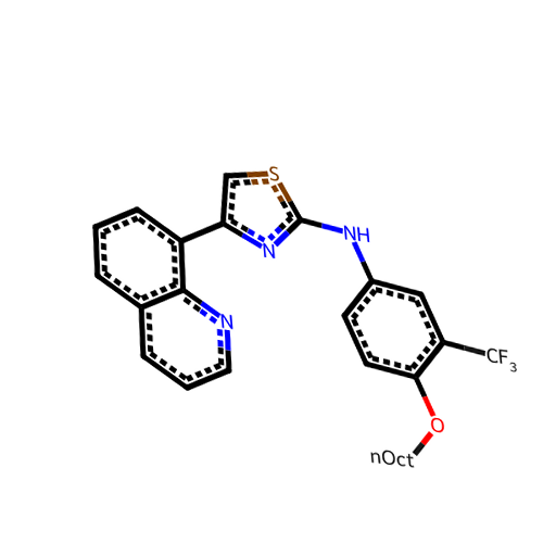 CCCCCCCCOc1ccc(Nc2nc(-c3cccc4cccnc34)cs2)cc1C(F)(F)F